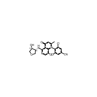 Cc1cc(=O)c2c(N[C@@H]3COC[C@H]3O)ncc(Cl)c2n1-c1c(Cl)cc(C#N)cc1Cl